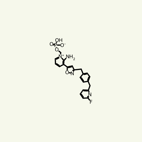 Nc1c(-c2cc(Cc3ccc(Cc4cccc(F)n4)cc3)no2)ccc[n+]1COP(=O)([O-])O